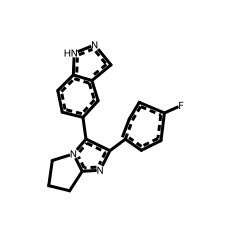 Fc1ccc(-c2nc3n(c2-c2ccc4[nH]ncc4c2)CCC3)cc1